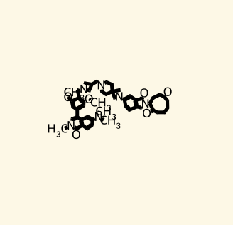 COc1cc(-c2cn(C)c(=O)c3ccc(N(C)C)cc23)cc(OC)c1CN1CC(CN2CCC3(CC2)CN(c2ccc4c(c2)C(=O)N(C2CCC(=O)CCCCC2=O)C4)C3)C1